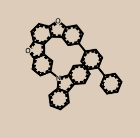 c1ccc(-c2ccc(-c3ccc4oc5ccc6oc7ccc(-n8c9ccccc9c9ccccc98)cc7c6c5c4c3)cc2)cc1